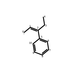 [CH2]/C=C(/CC)c1ccccc1